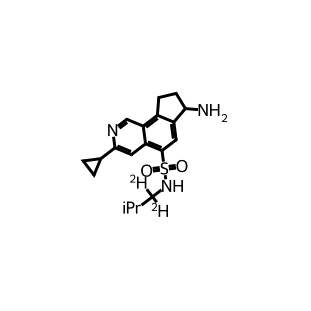 [2H]C([2H])(NS(=O)(=O)c1cc2c(c3cnc(C4CC4)cc13)CCC2N)C(C)C